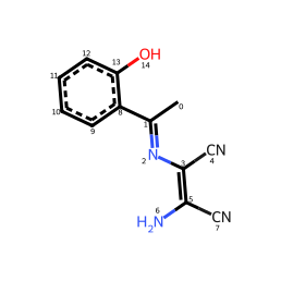 C/C(=N\C(C#N)=C(/N)C#N)c1ccccc1O